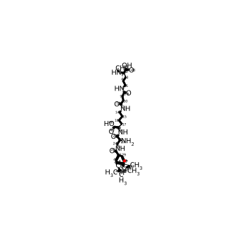 CN[C@H](CCCNC(=O)CCC(=O)NCCCC[C@@H](NC(=O)[C@H](N)CNC(=O)c1ccc([Si](F)(C(C)(C)C)C(C)(C)C)cc1)C(=O)O)C(=O)O